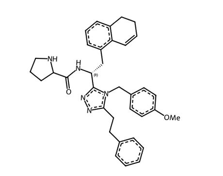 COc1ccc(Cn2c(CCc3ccccc3)nnc2[C@@H](Cc2cccc3c2C=CCC3)NC(=O)C2CCCN2)cc1